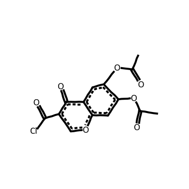 CC(=O)Oc1cc2occ(C(=O)Cl)c(=O)c2cc1OC(C)=O